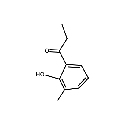 CCC(=O)c1cccc(C)c1O